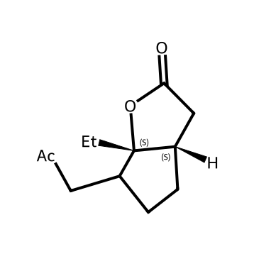 CC[C@@]12OC(=O)C[C@@H]1CCC2CC(C)=O